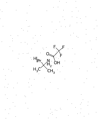 CC(C)C(C)(C)N.I.O=C(O)C(F)(F)F